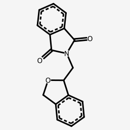 O=C1c2ccccc2C(=O)N1CC1OCc2ccccc21